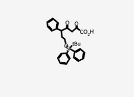 CC(C)(C)[Si](OCCC(C(=O)CC(=O)C(=O)O)c1ccccc1)(c1ccccc1)c1ccccc1